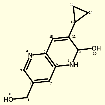 OCc1cnc2c(c1)NC(O)C(C1CC1)=C2